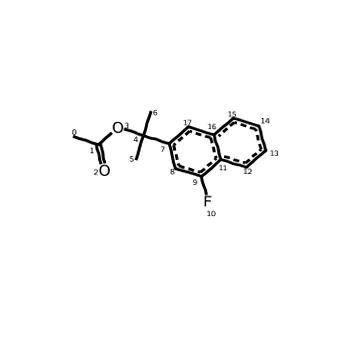 CC(=O)OC(C)(C)c1cc(F)c2ccccc2c1